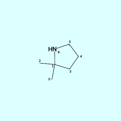 CC1(C)CC[CH]N1